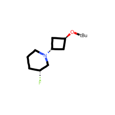 CC(C)(C)O[C@H]1C[C@H](N2CCC[C@@H](F)C2)C1